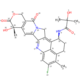 BC(C)(O)C(=O)N[C@H]1CCc2c(C)c(F)cc3nc4c(c1c23)Cn1c-4cc2c(c1=O)COC(=O)[C@]2(O)CC